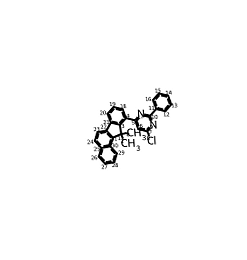 CC1(C)c2c(-c3cc(Cl)nc(-c4ccccc4)n3)cccc2-c2ccc3ccccc3c21